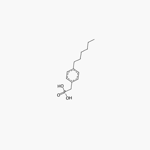 CCCCCCc1ccc(CP(=O)(O)O)cc1